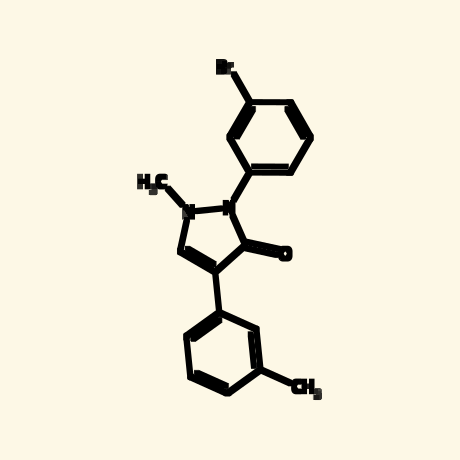 Cc1cccc(-c2cn(C)n(-c3cccc(Br)c3)c2=O)c1